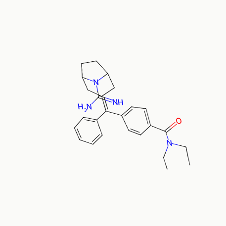 CCN(CC)C(=O)c1ccc(C(=C2CC3CCC(C2)N3C(=N)N)c2ccccc2)cc1